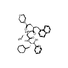 CC(C)C[C@H](NC(=O)[C@@H](CC(=O)N1CCOCC1)Cc1cccc2ccccc12)C(=O)N[C@@H](CC1CCCCC1)[C@@H](O)c1ccccn1